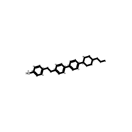 CCCC1CCC(c2ccc(-c3ccc(CCc4ccc(O)cc4)cc3)cc2)CC1